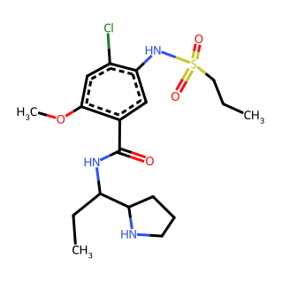 CCCS(=O)(=O)Nc1cc(C(=O)NC(CC)C2CCCN2)c(OC)cc1Cl